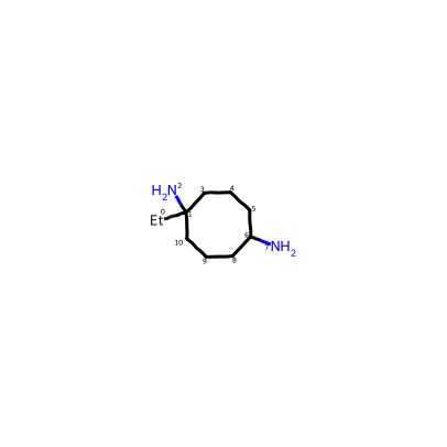 CCC1(N)CCCC(N)CCC1